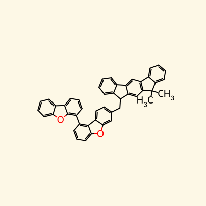 CC1(C)c2ccccc2-c2cc3c(cc21)C(Cc1ccc2c(c1)oc1cccc(-c4cccc5c4oc4ccccc45)c12)c1ccccc1-3